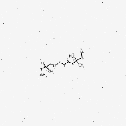 CCC(C)(CN)COCCOCC(C)(C)CN